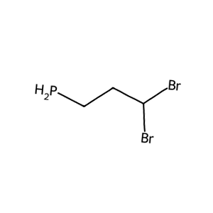 PCCC(Br)Br